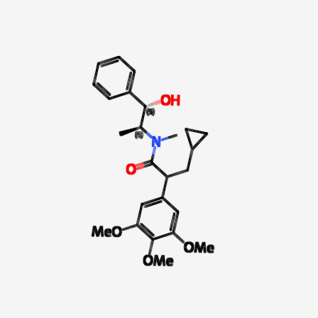 COc1cc(C(CC2CC2)C(=O)N(C)[C@@H](C)[C@@H](O)c2ccccc2)cc(OC)c1OC